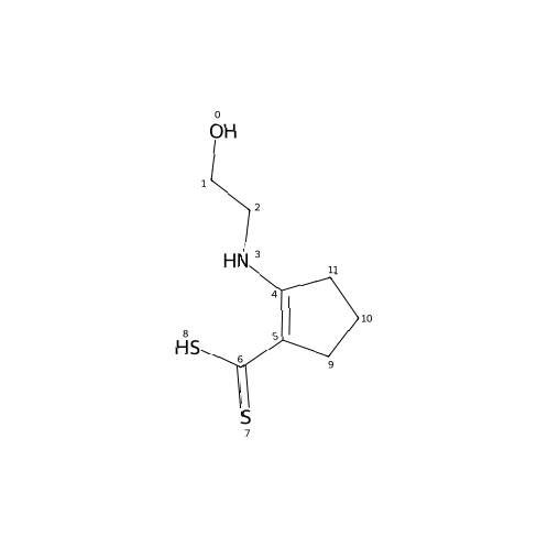 OCCNC1=C(C(=S)S)CCC1